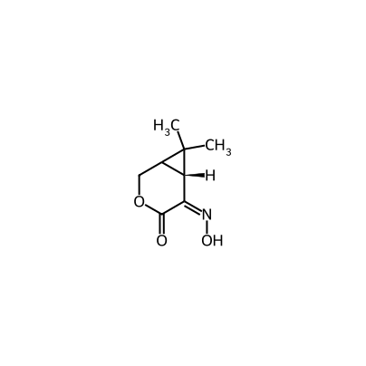 CC1(C)C2COC(=O)/C(=N\O)[C@H]21